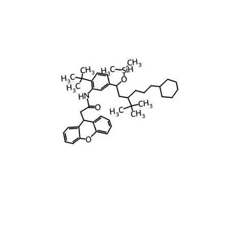 C[SiH](C)OC(CC(CCCC1CCCCC1)C(C)(C)C)c1ccc(C(C)(C)C)c(NC(=O)CC2c3ccccc3Oc3ccccc32)c1